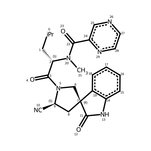 CC(C)C[C@@H](C(=O)N1C[C@]2(C[C@H]1C#N)C(=O)Nc1ccccc12)N(C)C(=O)c1cnccn1